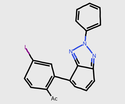 CC(=O)c1ccc(I)cc1-c1cccc2nn(-c3ccccc3)nc12